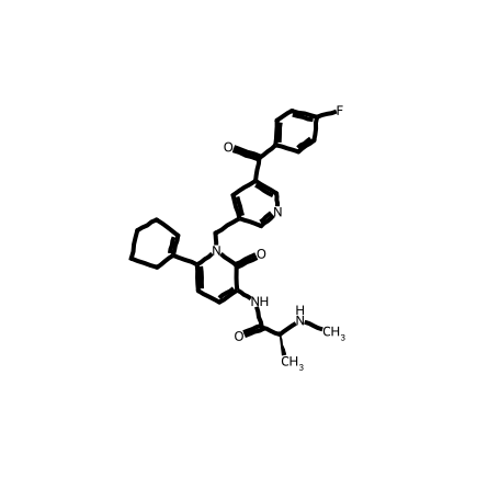 CN[C@@H](C)C(=O)Nc1ccc(C2=CCCCC2)n(Cc2cncc(C(=O)c3ccc(F)cc3)c2)c1=O